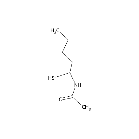 CCCCC(S)NC(C)=O